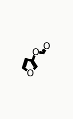 O=COc1ccoc1